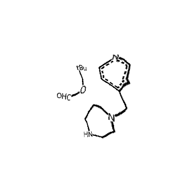 CC(C)(C)OC=O.c1cc(CN2CCNCC2)ccn1